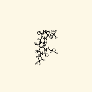 COCCn1c(=O)n(C2CC(C)(C)C2)c(=O)c2c(C)c(CN(NC(=O)OC(C)(C)C)C(N)=O)sc21